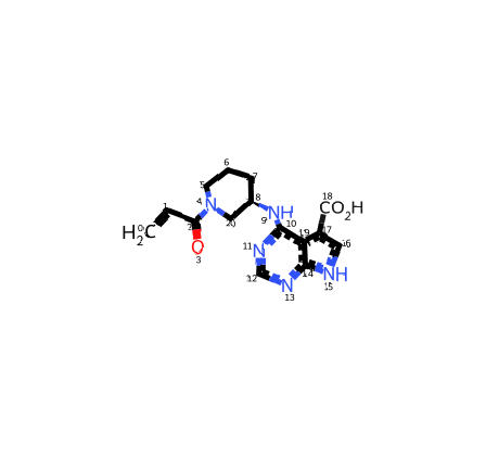 C=CC(=O)N1CCC[C@@H](Nc2ncnc3[nH]cc(C(=O)O)c23)C1